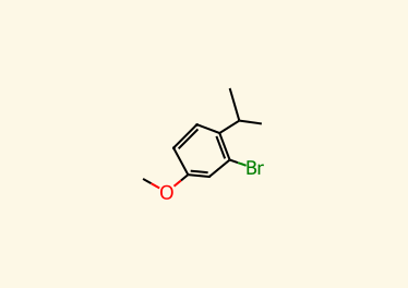 COc1ccc(C(C)C)c(Br)c1